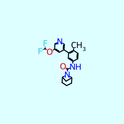 Cc1ccc(NC(=O)N2C3CCCC2C3)cc1-c1cncc(OC(F)F)c1